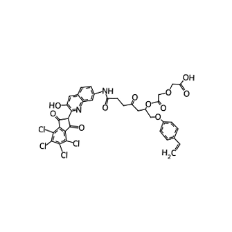 C=Cc1ccc(OCC(CC(=O)CCC(=O)Nc2ccc3cc(O)c(C4C(=O)c5c(Cl)c(Cl)c(Cl)c(Cl)c5C4=O)nc3c2)OC(=O)COCC(=O)O)cc1